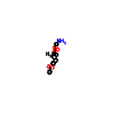 CC12CCC3c4ccc(OC(=O)c5ccccc5)cc4CCC3C1CCC2OC(=O)Oc1ccc(N)cc1